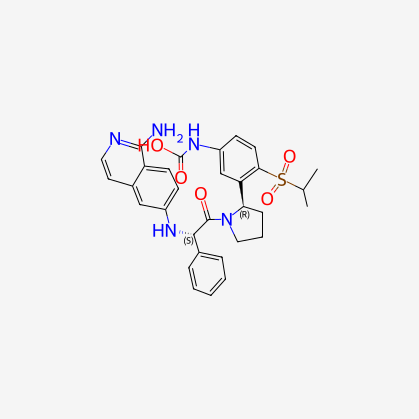 CC(C)S(=O)(=O)c1ccc(NC(=O)O)cc1[C@H]1CCCN1C(=O)[C@@H](Nc1ccc2c(N)nccc2c1)c1ccccc1